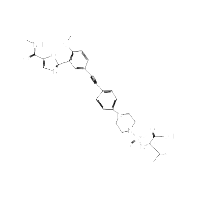 CNC(=O)c1cnc(-c2cc(C#Cc3ccc(N4CCN(S(=O)(=O)N[C@@H](C(=O)O)C(C)C)CC4)cc3)ccc2OC)o1